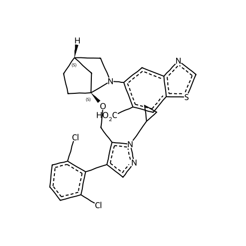 O=C(O)c1cc2scnc2cc1N1C[C@H]2CC[C@]1(OCc1c(-c3c(Cl)cccc3Cl)cnn1C1CC1)C2